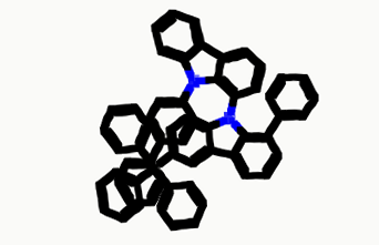 c1ccc(-c2ccc(-n3c4ccccc4c4cccc(-n5c6ccc([Si](c7ccccc7)(c7ccccc7)c7ccccc7)cc6c6cccc(-c7ccccc7)c65)c43)cc2)cc1